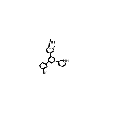 CN/C=C/C=C\C(=C/NC)c1cc(C2=CC=CNC2)cc(-c2cccc(Br)c2)c1